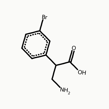 NCC(C(=O)O)c1cccc(Br)c1